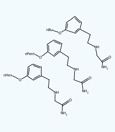 CCCCCCOc1cccc(CCNCC(N)=O)c1.CCCCCOc1cccc(CCNCC(N)=O)c1.CCCCOc1cccc(CCNCC(N)=O)c1